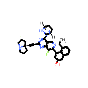 CCc1cccc2cc(O)cc(-c3ncc4c(N5C[C@H]6CC[C@@H]5CN6)nc(C#C[C@@]56CCCN5C[C@H](F)C6)nc4c3F)c12